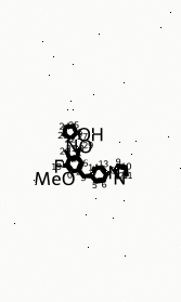 COc1c(Cc2ccc(-n3cccn3)cc2)cc2c(c1F)CN(C1CCCC1O)C2=O